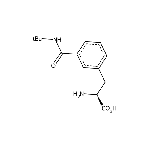 CC(C)(C)NC(=O)c1cccc(C[C@H](N)C(=O)O)c1